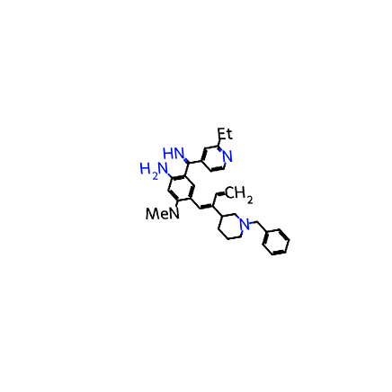 C=C/C(=C\c1cc(C(=N)c2ccnc(CC)c2)c(N)cc1NC)C1CCCN(Cc2ccccc2)C1